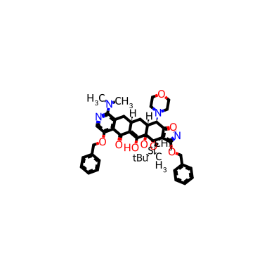 CN(C)c1ncc(OCc2ccccc2)c2c1C[C@H]1C[C@H]3[C@H](N4CCOCC4)c4onc(OCc5ccccc5)c4C(=O)C3(O[Si](C)(C)C(C)(C)C)C(O)=C1C2=O